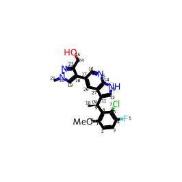 COc1ccc(F)c(Cl)c1[C@@H](C)c1c[nH]c2ncc(-c3cn(C)nc3CO)cc12